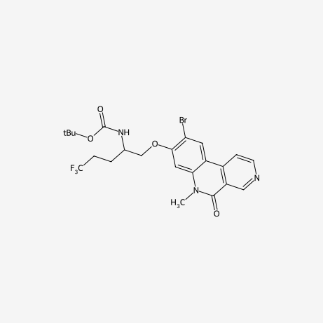 Cn1c(=O)c2cnccc2c2cc(Br)c(OCC(CCC(F)(F)F)NC(=O)OC(C)(C)C)cc21